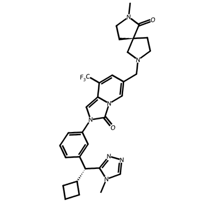 CN1CC[C@]2(CCN(Cc3cc(C(F)(F)F)c4cn(-c5cccc([C@H](c6nncn6C)C6CCC6)c5)c(=O)n4c3)C2)C1=O